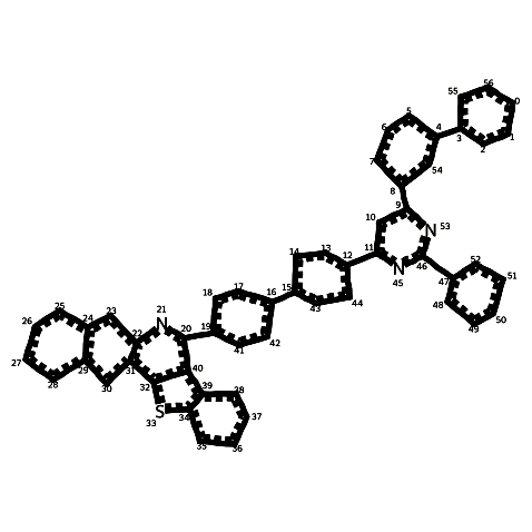 c1ccc(-c2cccc(-c3cc(-c4ccc(-c5ccc(-c6nc7cc8ccccc8cc7c7sc8ccccc8c67)cc5)cc4)nc(-c4ccccc4)n3)c2)cc1